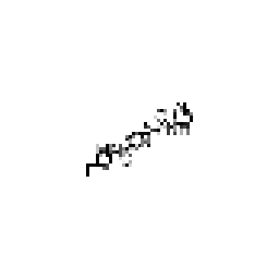 O=C(CSc1ccc(C(=O)Nc2ccc(F)cc2)cn1)Nc1cccnc1